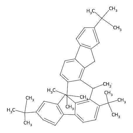 [CH2][C](c1c(C(C)(C)C)ccc2c1Cc1cc(C(C)(C)C)ccc1-2)c1c(C(C)(C)C)ccc2c1Cc1cc(C(C)(C)C)ccc1-2